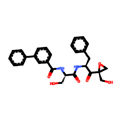 O=C(N[C@@H](CO)C(=O)N[C@@H](Cc1ccccc1)C(=O)[C@@]1(CO)CO1)c1cccc(-c2ccccc2)c1